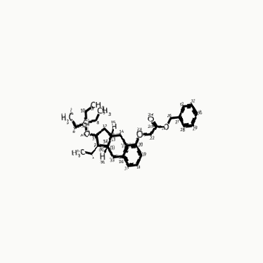 CC[C@H]1C(O[Si](CC)(CC)CC)C[C@@H]2Cc3c(cccc3OCC(=O)OCc3ccccc3)C[C@@H]21